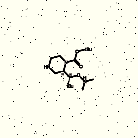 C[SiH](C)O[C@@H]([C@H]1CNCCN1C(=O)OC(C)(C)C)C(C)(C)C